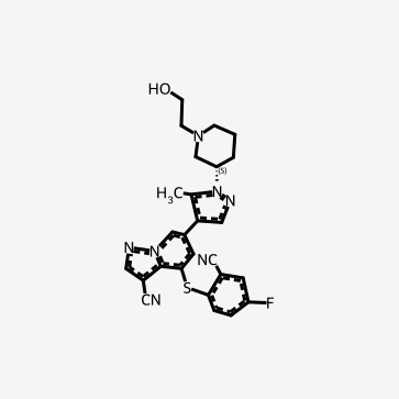 Cc1c(-c2cc(Sc3ccc(F)cc3C#N)c3c(C#N)cnn3c2)cnn1[C@H]1CCCN(CCO)C1